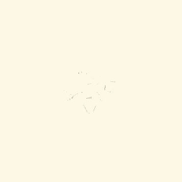 CN1C(=O)c2c(c3c4cc(O[Si](C)(C)C(C)(C)C)ccc4[nH]c3c3ccc(F)cc23)C1=O